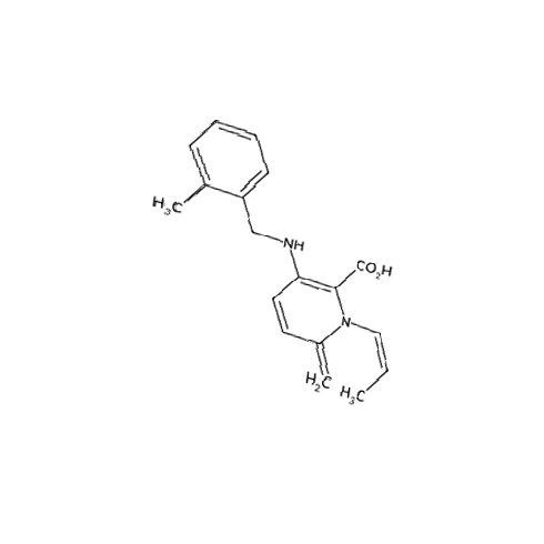 C=C1C=CC(NCc2ccccc2C)=C(C(=O)O)N1/C=C\C